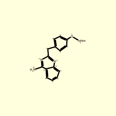 CCCCCCOc1ccc(Cc2nc(N)c3ccccc3n2)cc1